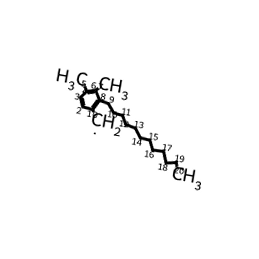 [CH2]c1ccc(C)c(C)c1CCCCCCCCCCCC